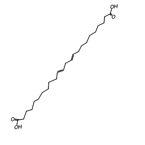 O=C(O)CCCCCCCCC=CCC=CCCCCCCCCCC(=O)O